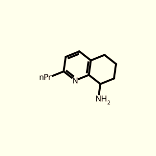 CCCc1ccc2c(n1)C(N)CCC2